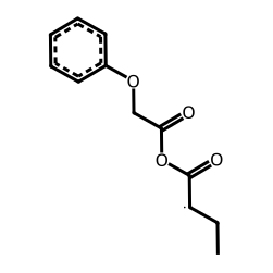 CC[CH]C(=O)OC(=O)COc1ccccc1